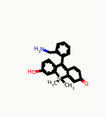 C[Si]1(C)C2=CC(=O)C=CC2=C(c2ccccc2CN)c2ccc(O)cc21